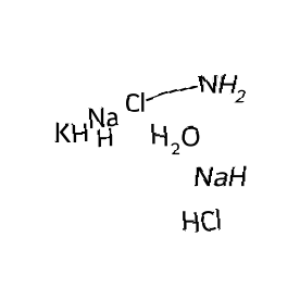 Cl.NCl.O.[KH].[NaH].[NaH]